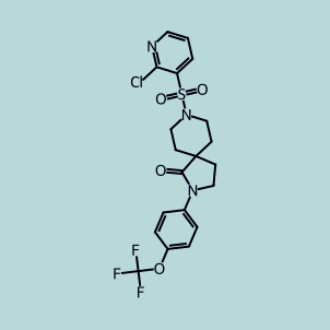 O=C1N(c2ccc(OC(F)(F)F)cc2)CCC12CCN(S(=O)(=O)c1cccnc1Cl)CC2